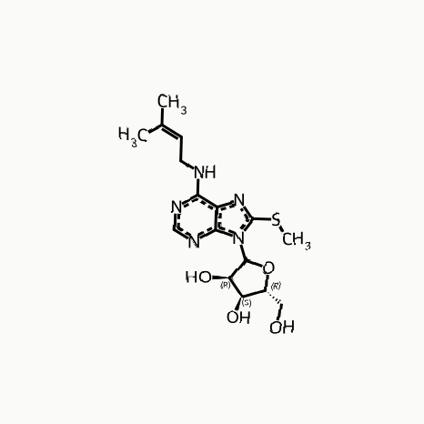 CSc1nc2c(NCC=C(C)C)ncnc2n1C1O[C@H](CO)[C@@H](O)[C@H]1O